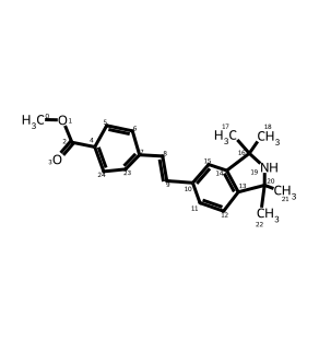 COC(=O)c1ccc(C=Cc2ccc3c(c2)C(C)(C)NC3(C)C)cc1